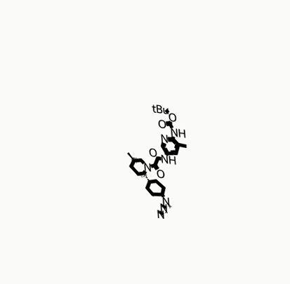 Cc1cc(NC(=O)C(=O)N2C[C@H](C)CC[C@H]2C2CCC(N=[N+]=[N-])CC2)cnc1NC(=O)OC(C)(C)C